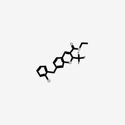 CCOC(=O)C1=Cc2ccc(Cc3ccccc3Cl)cc2OC1C(F)(F)F